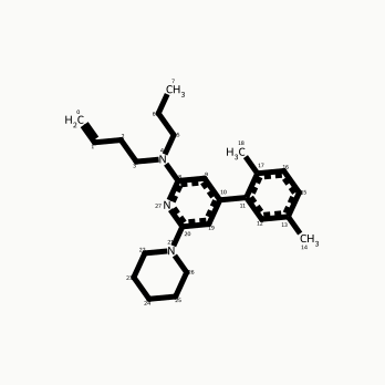 C=CCCN(CCC)c1cc(-c2cc(C)ccc2C)cc(N2CCCCC2)n1